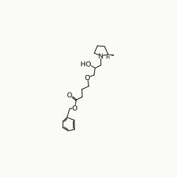 C[C@@H]1CCCN1CC(O)COCCCC(=O)OCc1ccccc1